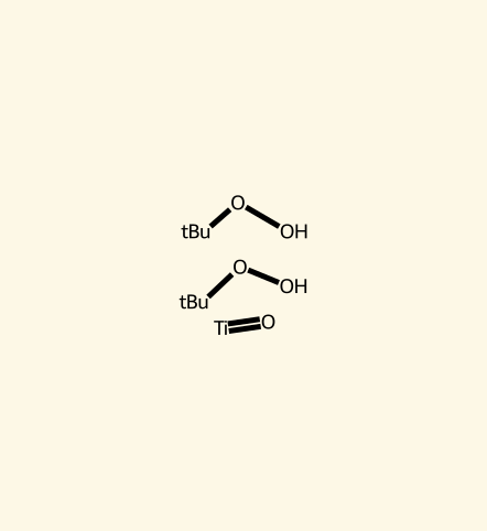 CC(C)(C)OO.CC(C)(C)OO.[O]=[Ti]